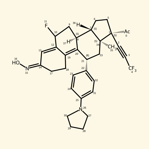 CC(=O)[C@@]1(C#CC(F)(F)F)CC[C@H]2[C@@H]3CC(F)C4=CC(=NO)CCC4=C3[C@@H](c3ccc(N4CCCC4)cc3)C[C@@]21C